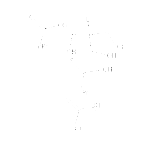 CCC(CO)(CO)CO.CCCC(O)=S.CCCC(O)=S.CCCC(O)=S